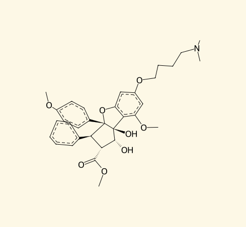 COC(=O)[C@H]1[C@@H](O)[C@@]2(O)c3c(OC)cc(OCCCCN(C)C)cc3O[C@@]2(c2ccc(OC)cc2)[C@@H]1c1ccccc1